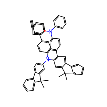 C#C/C=C(\C=C/C)c1ccc(N(c2ccc3c(c2)C(C)(C)c2ccccc2-3)c2cc3c(cc2-c2ccc(N(c4ccccc4)c4ccccc4)cc2)-c2ccccc2C3(C)C)cc1